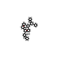 Sc1c(-c2ccc3c(c2)c2ccccc2n3-c2c(-c3ccccc3)cc(-c3nc(-c4ccccc4)nc4c3oc3ccccc34)cc2-c2ccccc2)ccc2oc3ccccc3c12